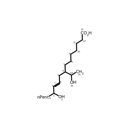 CCCCCC(O)/C=C/CC(CCCCCCC(=O)O)C(C)O